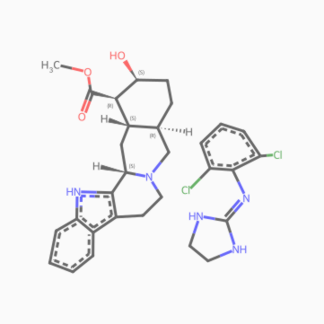 COC(=O)[C@@H]1[C@H]2C[C@H]3c4[nH]c5ccccc5c4CCN3C[C@@H]2CC[C@@H]1O.Clc1cccc(Cl)c1N=C1NCCN1